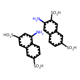 Nc1cc(S(=O)(=O)O)cc2cc(S(=O)(=O)O)ccc12.Nc1cc2ccc(S(=O)(=O)O)cc2cc1S(=O)(=O)O